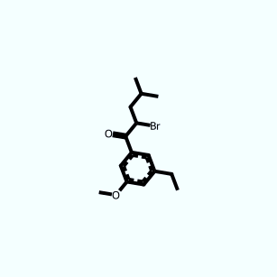 CCc1cc(OC)cc(C(=O)C(Br)CC(C)C)c1